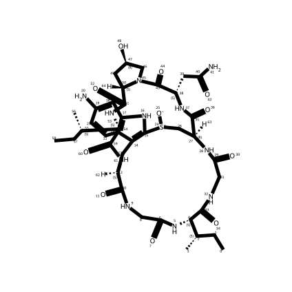 CC[C@H](C)[C@@H]1NC(=O)CNC(=O)[C@@H]2Cc3c([nH]c4cc(N)ccc34)[S+]([O-])C[C@H](NC(=O)CNC1=O)C(=O)N[C@@H](CC(N)=O)C(=O)N1C[C@H](O)C[C@H]1C(=O)N[C@@H]([C@@H](C)CC)C(=O)N2